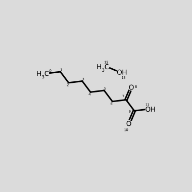 CCCCCCCC(=O)C(=O)O.CO